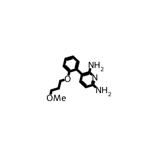 COCCCOc1ccccc1-c1ccc(N)nc1N